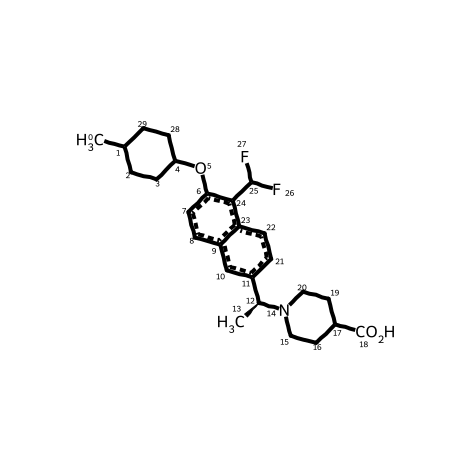 CC1CCC(Oc2ccc3cc([C@H](C)N4CCC(C(=O)O)CC4)ccc3c2C(F)F)CC1